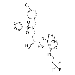 C=C(CCN(Cc1ccc(Cl)cc1)S(=O)(=O)c1ccoc1)C1=NC(C)(C)[C@H](C(=O)NCCC(F)(F)F)N1